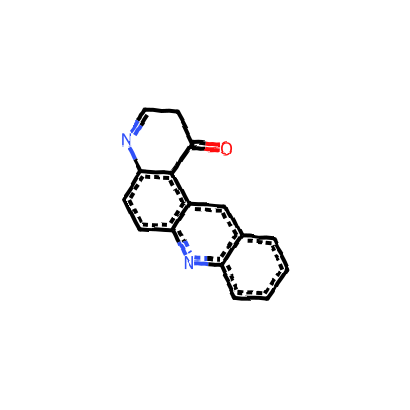 O=C1CC=Nc2ccc3nc4ccccc4cc3c21